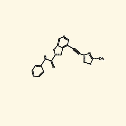 Cc1nc(C#Cc2cncc3sc(C(=O)Nc4ccccc4)cc23)cs1